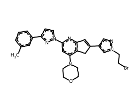 Cc1cccc(-c2ccn(-c3cc(N4CCOCC4)c4c(n3)C=C(c3cnn(CCBr)c3)C4)n2)c1